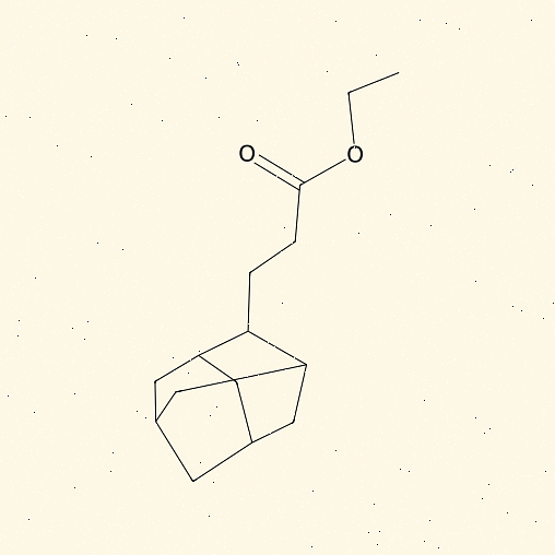 CCOC(=O)CCC1C2CC3CC(C2)CC1C3